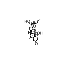 CCCC(=O)O[C@]1(C(=O)CO)[C@@H](C)C[C@H]2[C@@H]3C[C@H](C)C4=CC(=O)CC[C@]4(C)[C@H]3[C@@H](O)C[C@@]21C